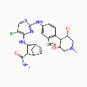 COc1cc(Nc2ncc(F)c(NC3C4C=CC(C4)C3C(N)=O)n2)ccc1C1C(=O)CN(C)CC1=O